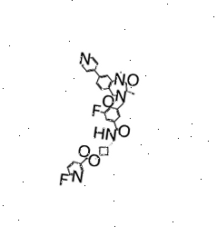 C[C@@H]1C(=O)N(C)c2cc(-c3ccncc3)ccc2C(=O)N1Cc1cc(F)cc(C(=O)NC[C@H]2C[C@@H](OC(=O)c3ccc(F)nc3)C2)c1